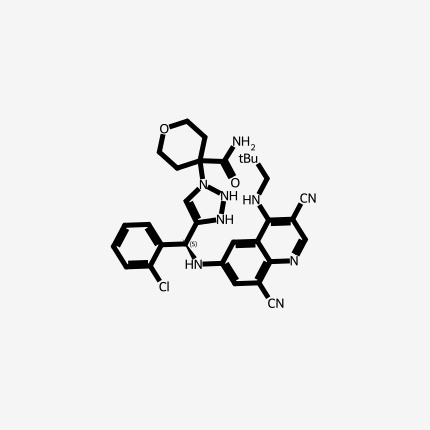 CC(C)(C)CNc1c(C#N)cnc2c(C#N)cc(N[C@H](C3=CN(C4(C(N)=O)CCOCC4)NN3)c3ccccc3Cl)cc12